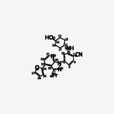 CC(C)c1nn(-c2ccc(C#N)c(N[C@H]3CC[C@H](O)CC3)c2)c2nccc(-c3ccco3)c12